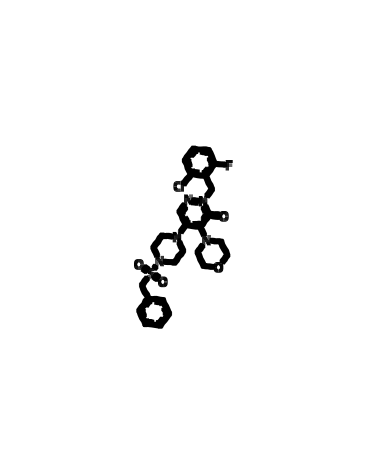 O=c1c(N2CCOCC2)c(N2CCN(S(=O)(=O)Cc3ccccc3)CC2)cnn1Cc1c(F)cccc1Cl